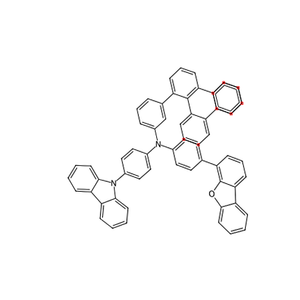 c1ccc(-c2ccccc2-c2c(-c3ccccc3)cccc2-c2cccc(N(c3ccc(-c4cccc5c4oc4ccccc45)cc3)c3ccc(-n4c5ccccc5c5ccccc54)cc3)c2)cc1